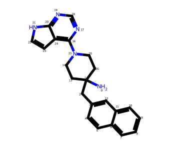 NC1(Cc2ccc3ccccc3c2)CCN(c2ncnc3[nH]ccc23)CC1